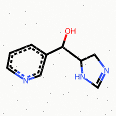 OC(c1cccnc1)C1CN=CN1